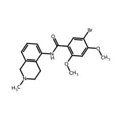 COc1cc(OC)c(C(=O)Nc2cccc3c2CCN(C)C3)cc1Br